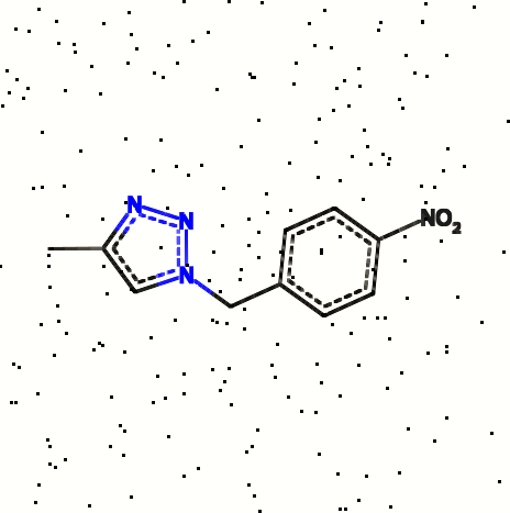 Cc1cn(Cc2ccc([N+](=O)[O-])cc2)nn1